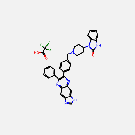 O=C(O)C(F)(F)F.O=c1[nH]c2ccccc2n1C1CCN(Cc2ccc(-c3nc4cc5[nH]cnc5cc4nc3-c3ccccc3)cc2)CC1